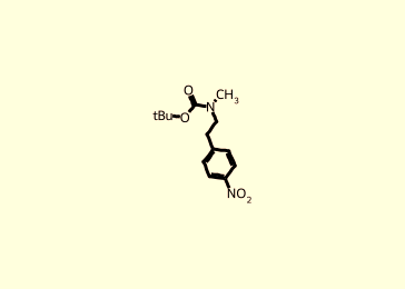 CN(CCc1ccc([N+](=O)[O-])cc1)C(=O)OC(C)(C)C